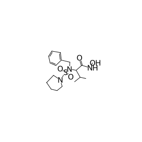 CC(C)C(C(=O)NO)N(Cc1ccccc1)S(=O)(=O)N1CCCCC1